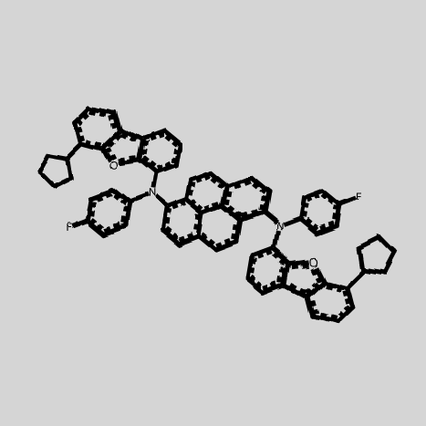 Fc1ccc(N(c2ccc3ccc4c(N(c5ccc(F)cc5)c5cccc6c5oc5c(C7CCCC7)cccc56)ccc5ccc2c3c54)c2cccc3c2oc2c(C4CCCC4)cccc23)cc1